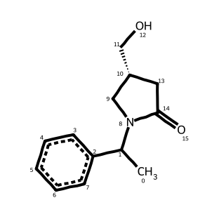 CC(c1ccccc1)N1C[C@H](CO)CC1=O